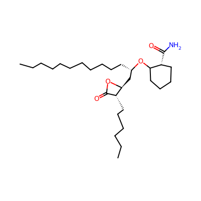 CCCCCCCCCCC[C@@H](C[C@@H]1OC(=O)[C@H]1CCCCCC)OC1CCCC[C@H]1C(N)=O